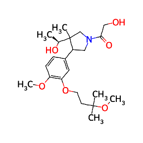 COc1ccc(C2CN(C(=O)CO)CC2(C)[C@H](C)O)cc1OCCC(C)(C)OC